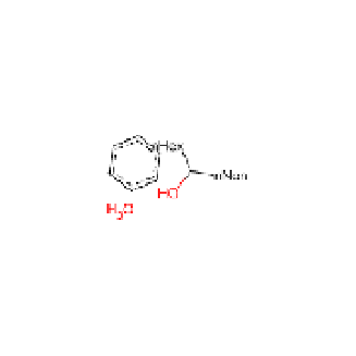 CCCCCCCCCC(O)CCCCCC.O.c1ccccc1